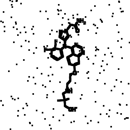 CC(C)(CO)CNCCCOc1ccc2c(N(c3cnn(CC(N)=O)c3)c3cccc(F)c3F)ncnc2c1